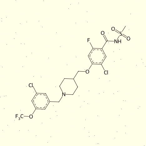 CS(=O)(=O)NC(=O)c1cc(Cl)c(OCC2CCN(Cc3cc(Cl)cc(OC(F)(F)F)c3)CC2)cc1F